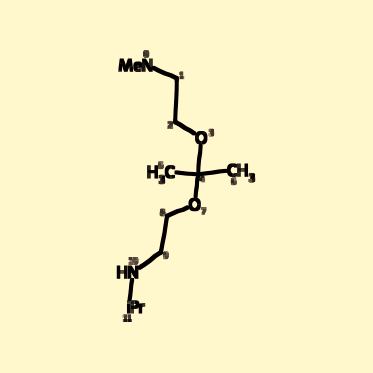 CNCCOC(C)(C)OCCNC(C)C